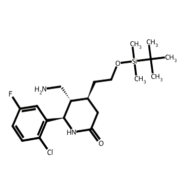 CC(C)(C)[Si](C)(C)OCC[C@H]1CC(=O)N[C@@H](c2cc(F)ccc2Cl)[C@@H]1CN